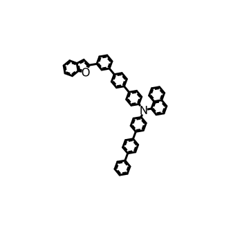 c1ccc(-c2ccc(-c3ccc(N(c4ccc(-c5ccc(-c6cccc(-c7cc8ccccc8o7)c6)cc5)cc4)c4cccc5ccccc45)cc3)cc2)cc1